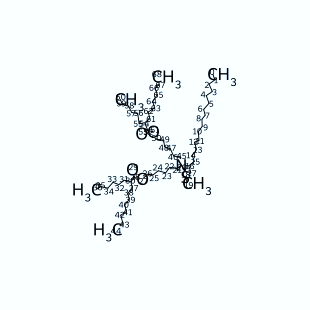 CCCCCCCCCCCCCCCCC(CSC)N(CCCCCCOC(=O)C(CCCCCC)CCCCCCCC)CCCCCCOC(=O)C(CCCCCC)CCCCCCCC